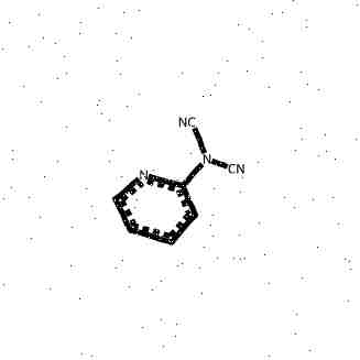 N#CN(C#N)c1ccccn1